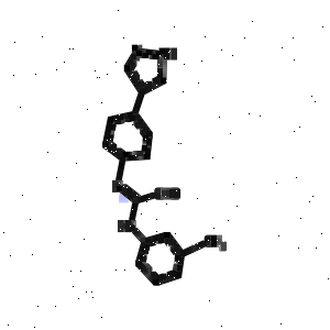 Cc1cccc(N/C(C=O)=N/c2ccc(-c3cn[nH]c3)cc2)c1